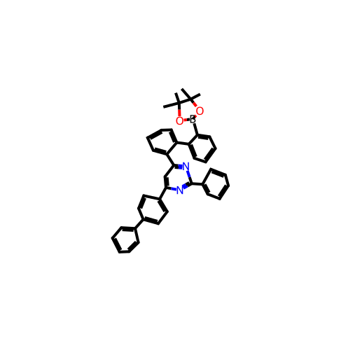 CC1(C)OB(c2ccccc2-c2ccccc2-c2cc(-c3ccc(-c4ccccc4)cc3)nc(-c3ccccc3)n2)OC1(C)C